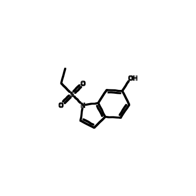 CCS(=O)(=O)n1ccc2ccc(O)cc21